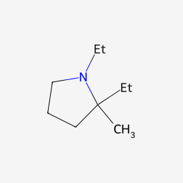 CCN1CCCC1(C)CC